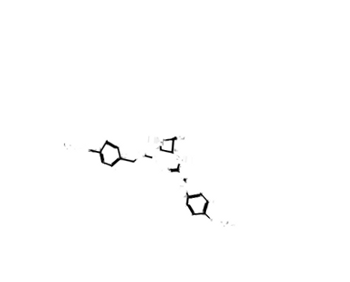 COc1ccc(COC(=O)N[C@H]2C(=O)N[C@H]2CSCc2ccc(OC)cc2)cc1